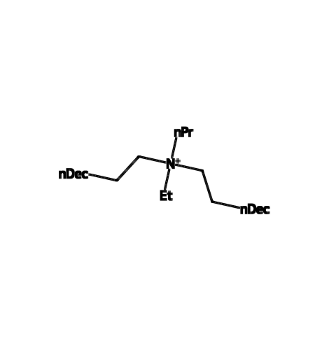 CCCCCCCCCCCC[N+](CC)(CCC)CCCCCCCCCCCC